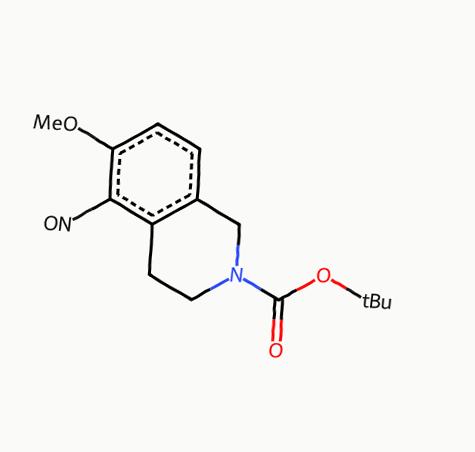 COc1ccc2c(c1N=O)CCN(C(=O)OC(C)(C)C)C2